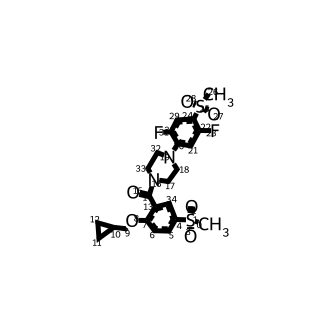 CS(=O)(=O)c1ccc(OCC2CC2)c(C(=O)N2CCN(c3cc(F)c(S(C)(=O)=O)cc3F)CC2)c1